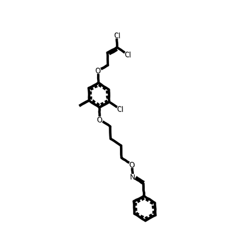 Cc1cc(OCC=C(Cl)Cl)cc(Cl)c1OCCCCO/N=C/c1ccccc1